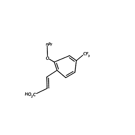 CCCOc1cc(C(F)(F)F)ccc1C=CC(=O)O